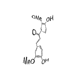 COc1cc(C=CC(=O)c2ccc(O)c(OC)c2)ccc1O